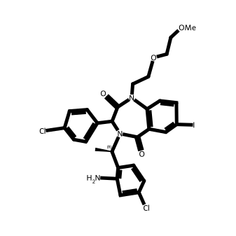 COCCOCCN1C(=O)C(c2ccc(Cl)cc2)N([C@H](C)c2ccc(Cl)cc2N)C(=O)c2cc(I)ccc21